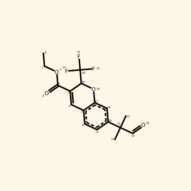 CCOC(=O)C1=Cc2ccc(C(C)(C)C=O)cc2OC1C(F)(F)F